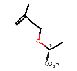 C=C(C)CO[C@@H](C)C(=O)O